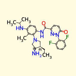 CC[C@@H]1CN(c2c(NC(=O)c3ccc(=O)n(-c4c(F)cccc4F)n3)ccc(NC(C)C)c2C)C[C@@H]1N